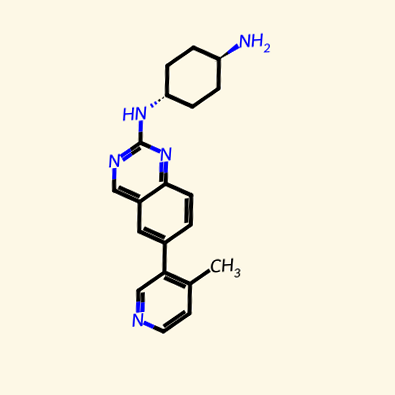 Cc1ccncc1-c1ccc2nc(N[C@H]3CC[C@H](N)CC3)ncc2c1